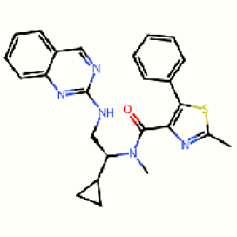 Cc1nc(C(=O)N(C)[C@H](CNc2ncc3ccccc3n2)C2CC2)c(-c2ccccc2)s1